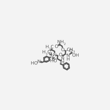 CC(C)CN(C[C@@H](O)[C@H](Cc1ccccc1)NC(=O)[C@@H](NC(=O)O)[C@@H](C)OCC(N)=O)S(=O)(=O)c1ccc(/C=N/O)cc1